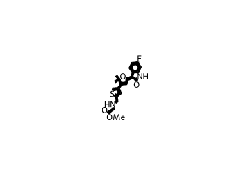 COC(=O)CNCc1cc(C2=C/C(=C3\C(=O)Nc4cc(F)ccc43)OC2(C)C)cs1